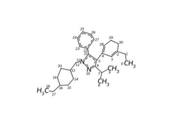 CCC1=CC(c2c(C(C)C)nn(CC3CCC(CC)CC3)c2-c2ccccc2)=CCC1